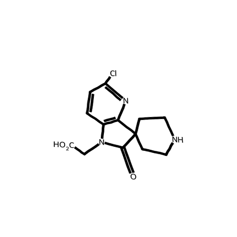 O=C(O)CN1C(=O)C2(CCNCC2)c2nc(Cl)ccc21